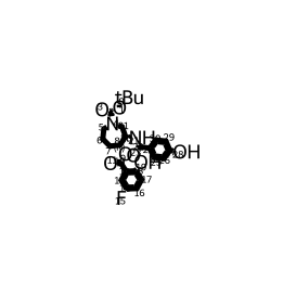 CC(C)(C)OC(=O)N1CCC[C@@H](OC(=O)c2cc(F)ccc2O)[C@H](NC(=O)c2ccc(O)cc2)C1